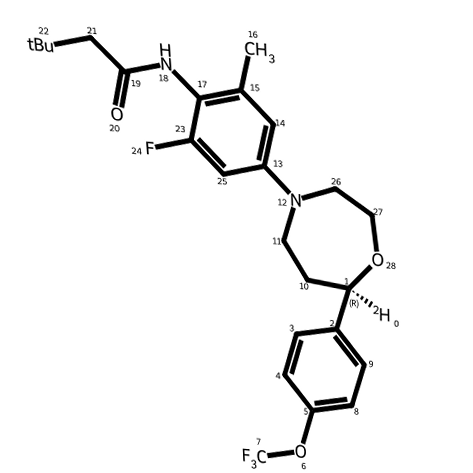 [2H][C@]1(c2ccc(OC(F)(F)F)cc2)CCN(c2cc(C)c(NC(=O)CC(C)(C)C)c(F)c2)CCO1